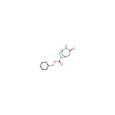 O=C1CC2CC(CN2C(=O)OCc2ccccc2)N1